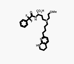 COCCN(CCCCc1ccc2c(n1)NCCC2)CC[C@H](NC(=O)C(F)(F)c1ccccc1)C(=O)O